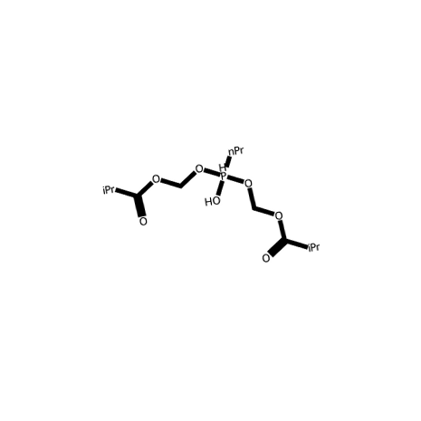 CCC[PH](O)(OCOC(=O)C(C)C)OCOC(=O)C(C)C